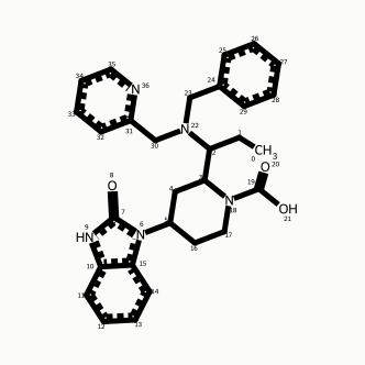 CCC(C1CC(n2c(=O)[nH]c3ccccc32)CCN1C(=O)O)N(Cc1ccccc1)Cc1ccccn1